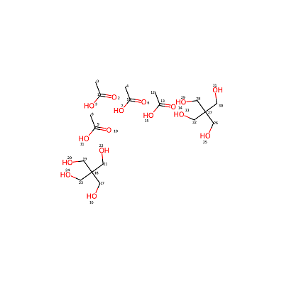 CC(=O)O.CC(=O)O.CC(=O)O.CC(=O)O.OCC(CO)(CO)CO.OCC(CO)(CO)CO